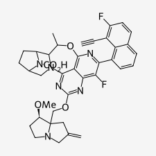 C#Cc1c(F)ccc2cccc(-c3nc4c5c(nc(OCC67CC(=C)CN6CC[C@H]7OC)nc5c3F)N3CC5CCC(C3C(C)O4)N5C(=O)O)c12